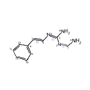 N\C=N/C(N)=N\C=C\c1ccccc1